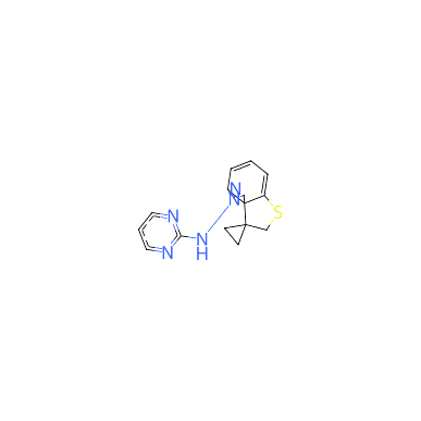 C1=CC2=NN(Nc3ncccn3)CC23C(=C1)SCC31CC1